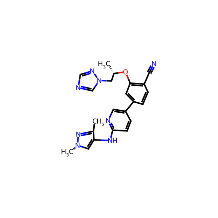 Cc1nn(C)cc1Nc1ccc(-c2ccc(C#N)c(O[C@@H](C)Cn3cncn3)c2)cn1